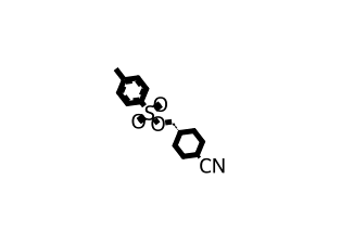 Cc1ccc(S(=O)(=O)OC[C@H]2CC[C@H](C#N)CC2)cc1